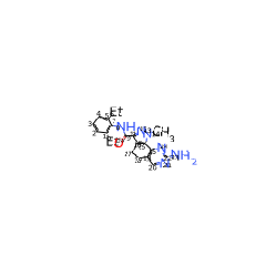 CCc1cccc(CC)c1NC(=O)c1nn(C)c2c1CCc1cnc(N)nc1-2